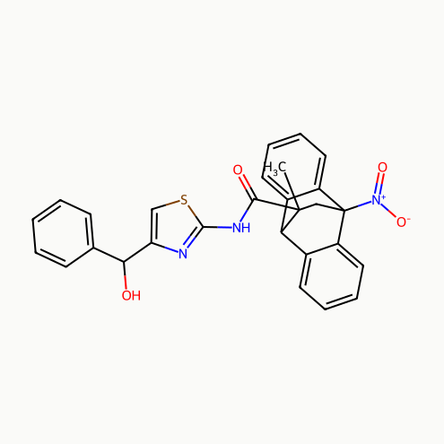 CC1(C(=O)Nc2nc(C(O)c3ccccc3)cs2)CC2([N+](=O)[O-])c3ccccc3C1c1ccccc12